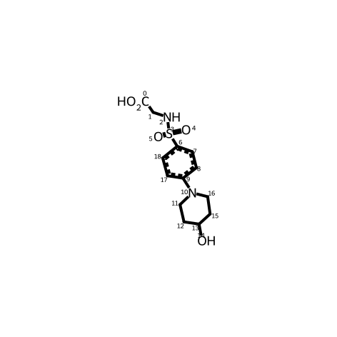 O=C(O)CNS(=O)(=O)c1ccc(N2CCC(O)CC2)cc1